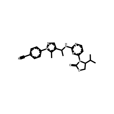 Cc1c(C(C)Nc2nccc(N3C(=O)OCC3C(C)C)n2)cnn1-c1ccc(C#N)cc1